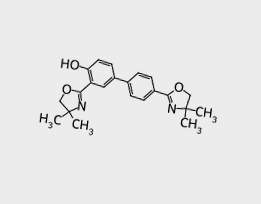 CC1(C)COC(c2ccc(-c3ccc(O)c(C4=NC(C)(C)CO4)c3)cc2)=N1